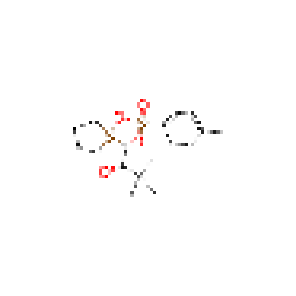 Cc1ccc(S(=O)(=O)OS2(CC(=O)C(C)(C)C)CCCC2)cc1